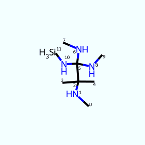 CNC(C)(C)C(NC)(NC)N[SiH3]